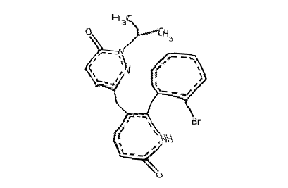 CC(C)n1nc(-c2ccc(=O)[nH]c2-c2ccccc2Br)ccc1=O